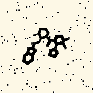 C[C@@H]1CCCN(C(=O)c2ccc(F)c(F)c2-n2nccn2)[C@@H]1CNc1nc2ccccc2o1